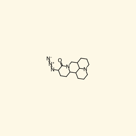 [N-]=[N+]=NC1CCC2C3CCCN4CCCC(CN2C1=O)C34